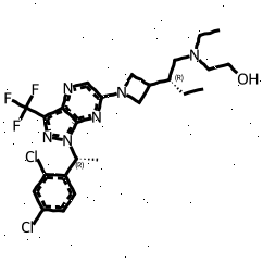 CC[C@@H](CN(CC)CCO)C1CN(c2cnc3c(C(F)(F)F)nn([C@H](C)c4ccc(Cl)cc4Cl)c3n2)C1